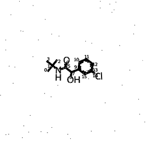 CC(C)(C)NC(=O)C(O)c1cccc(Cl)c1